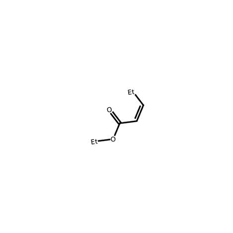 CC/C=C\C(=O)OCC